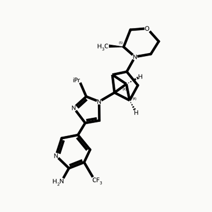 CC(C)c1nc(-c2cnc(N)c(C(F)(F)F)c2)cn1C12C3C(N4CCOC[C@@H]4C)C[C@@H]1[C@H]32